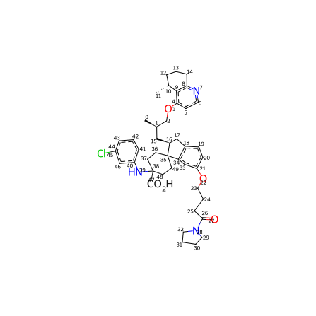 C[C@@H](COc1ccnc2c1[C@H](C)CCC2)C[C@H]1Cc2ccc(OCCCC(=O)N3CCCC3)cc2C12CCC(Nc1cccc(Cl)c1)(C(=O)O)CC2